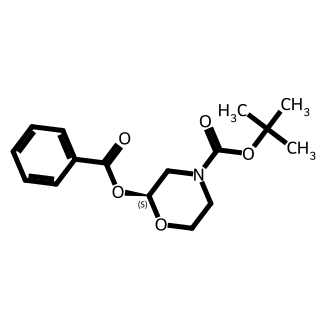 CC(C)(C)OC(=O)N1CCO[C@@H](OC(=O)c2ccccc2)C1